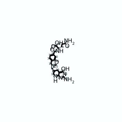 NC(=O)CC[C@H](NC(=O)c1ccc(CN(C=O)C[C@@H]2CNc3nc(N)nc(O)c3C2)cc1)C(=O)O